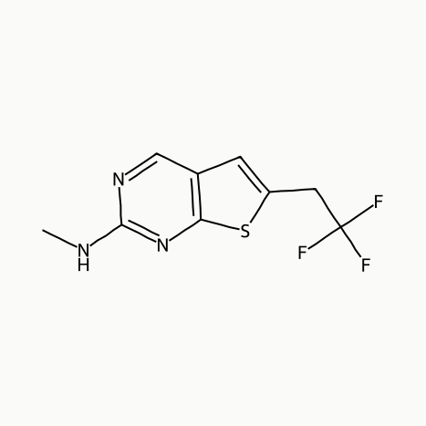 CNc1ncc2cc(CC(F)(F)F)sc2n1